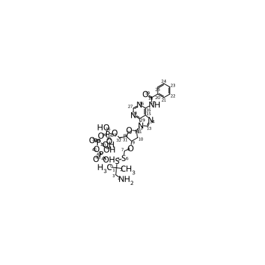 CC(C)(CN)SSCOC1C[C@H](n2cnc3c(NC(=O)c4ccccc4)ncnc32)O[C@@H]1COP(=O)(O)OP(=O)(O)OP(=O)(O)O